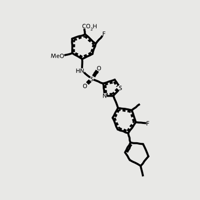 COc1cc(C(=O)O)c(F)cc1NS(=O)(=O)c1csc(-c2ccc(C3=CCC(C)CC3)c(F)c2C)n1